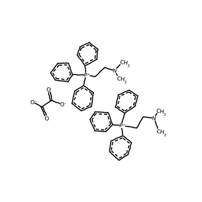 CN(C)CC[P+](c1ccccc1)(c1ccccc1)c1ccccc1.CN(C)CC[P+](c1ccccc1)(c1ccccc1)c1ccccc1.O=C([O-])C(=O)[O-]